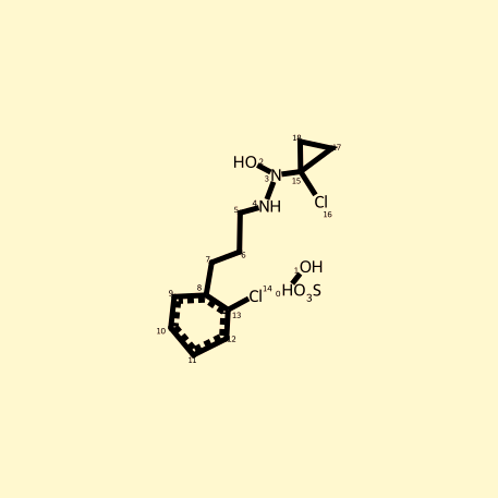 O=S(=O)(O)O.ON(NCCCc1ccccc1Cl)C1(Cl)CC1